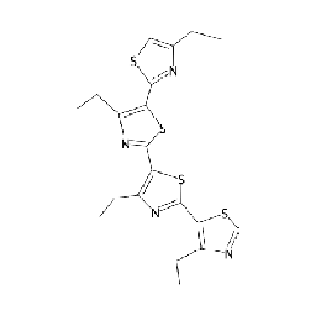 CCc1csc(-c2sc(-c3sc(-c4scnc4CC)nc3CC)nc2CC)n1